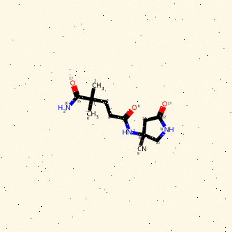 CC(C)(C[CH]C(=O)NC1(C#N)CNC(=O)C1)C(N)=O